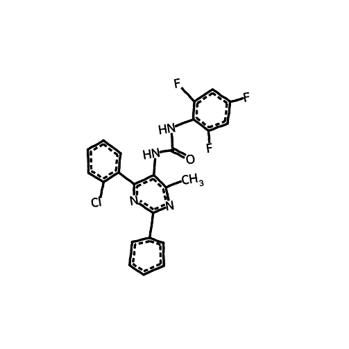 Cc1nc(-c2ccccc2)nc(-c2ccccc2Cl)c1NC(=O)Nc1c(F)cc(F)cc1F